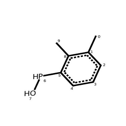 Cc1cccc(PO)c1C